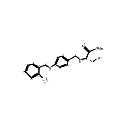 CNC(=O)[C@H](CO)NCc1ccc(OCc2ccccc2C)cc1